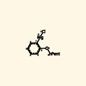 CCCCCOc1cccc[c]1[Mg][Cl]